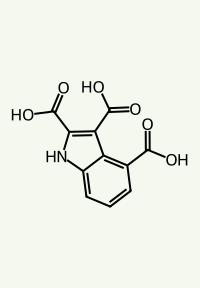 O=C(O)c1[nH]c2cccc(C(=O)O)c2c1C(=O)O